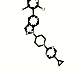 Fc1ccnc(Cl)c1-c1cc2cnn(C3CCN(c4ncc(C5CC5)cn4)CC3)c2cn1